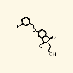 O=C1c2ccc(OCc3cccc(F)c3)cc2C(=O)N1CCO